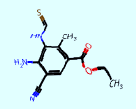 CCOC(=O)c1cc(C#N)c(N)c(NC=S)c1C